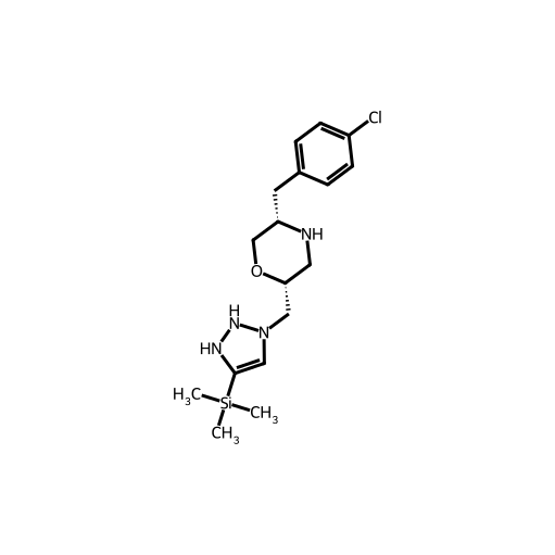 C[Si](C)(C)C1=CN(C[C@H]2CN[C@@H](Cc3ccc(Cl)cc3)CO2)NN1